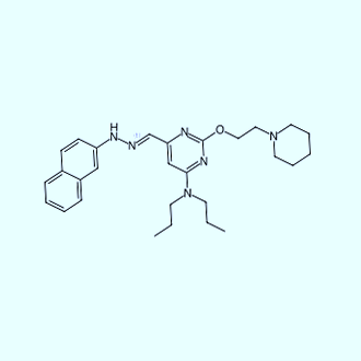 CCCN(CCC)c1cc(/C=N/Nc2ccc3ccccc3c2)nc(OCCN2CCCCC2)n1